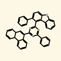 C1=CC2C=C(c3nc(-c4ccccc4)nc(-c4c(-c5ccccc5)ccc5oc6ccccc6c45)n3)c3ccccc3C2C=C1